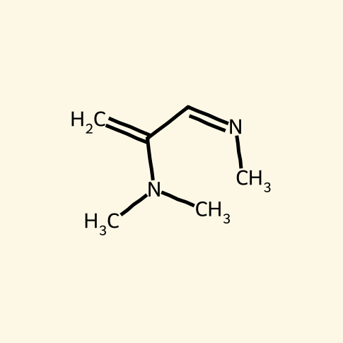 C=C(/C=N\C)N(C)C